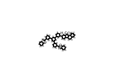 CC1(C)c2cc(-c3cccc(-c4cc(-c5cccc(-c6nc7ccccc7o6)c5)cc(-c5cccc(-c6nc7ccccc7o6)c5)c4)c3)ccc2-c2ccc3ccccc3c21